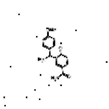 COc1ccc(C(C)n2cc(C(N)=O)ccc2=O)cc1